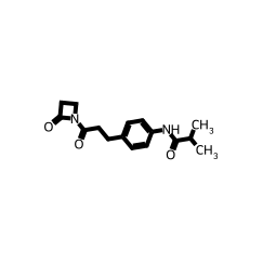 CC(C)C(=O)Nc1ccc(CCC(=O)N2CCC2=O)cc1